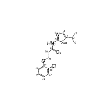 CC(C)c1cnc(NC(=O)CCOc2ccccc2Cl)s1